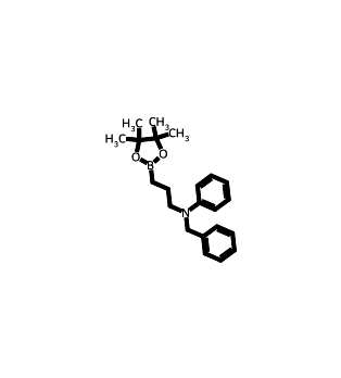 CC1(C)OB(CCCN(Cc2ccccc2)c2ccccc2)OC1(C)C